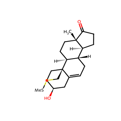 CSSC[C@]12CC[C@H](O)CC1=CC[C@@H]1[C@@H]2CC[C@]2(C)C(=O)CC[C@@H]12